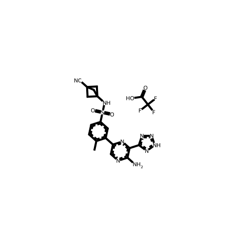 Cc1ccc(S(=O)(=O)NC23CC(C#N)(C2)C3)cc1-c1cnc(N)c(-c2nn[nH]n2)n1.O=C(O)C(F)(F)F